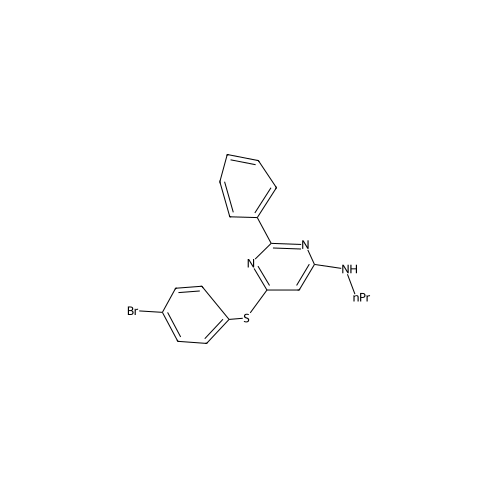 CCCNc1cc(Sc2ccc(Br)cc2)nc(-c2ccccc2)n1